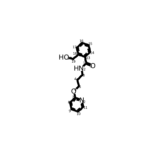 O=C(NCCCOc1ccccn1)c1ccccc1CO